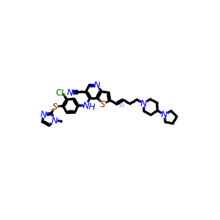 Cn1ccnc1Sc1ccc(Nc2c(C#N)cnc3cc(/C=C/CCN4CCC(N5CCCC5)CC4)sc23)cc1Cl